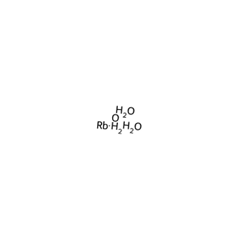 O.O.O.[Rb]